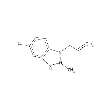 C=CCN1c2ccc(F)cc2NN1C